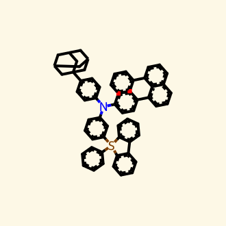 c1ccc(-c2cccc3cccc(-c4ccc(N(c5ccc(C67CC8CC(CC(C8)C6)C7)cc5)c5cccc(S6(c7ccccc7)c7ccccc7-c7ccccc76)c5)cc4)c23)cc1